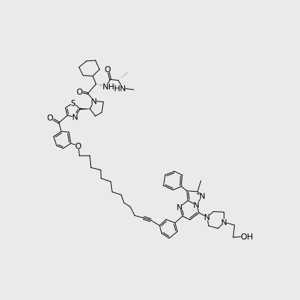 CN[C@@H](C)C(=O)N[C@H](C(=O)N1CCC[C@H]1c1nc(C(=O)c2cccc(OCCCCCCCCCCCC#Cc3cccc(-c4cc(N5CCN(CCO)CC5)n5nc(C)c(-c6ccccc6)c5n4)c3)c2)cs1)C1CCCCC1